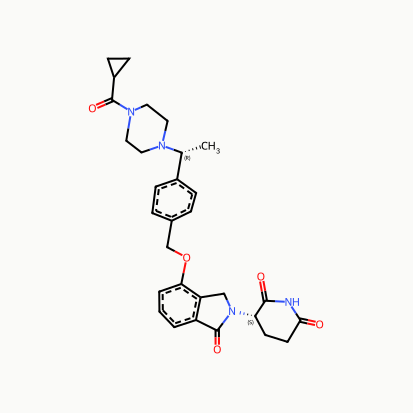 C[C@H](c1ccc(COc2cccc3c2CN([C@H]2CCC(=O)NC2=O)C3=O)cc1)N1CCN(C(=O)C2CC2)CC1